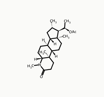 CC(=O)O[C@H](C)[C@@H]1[C@@H](C)C[C@H]2[C@@H]3CC[C@H]4N(C)C(=O)CC[C@]4(C)[C@H]3CC[C@]12C